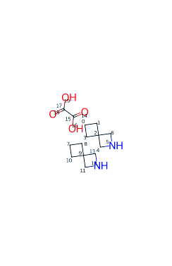 C1CC2(C1)CNC2.C1CC2(C1)CNC2.O=C(O)C(=O)O